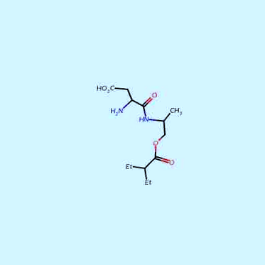 CCC(CC)C(=O)OCC(C)NC(=O)C(N)CC(=O)O